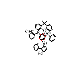 CC1(C)c2cccc(P(c3ccccc3)c3ccccc3)c2Oc2c([PH+](c3ccccc3)c3ccccc3)cccc21.[CH3-].[NH-]c1ccccc1-c1[c-]cccc1.[Pd]